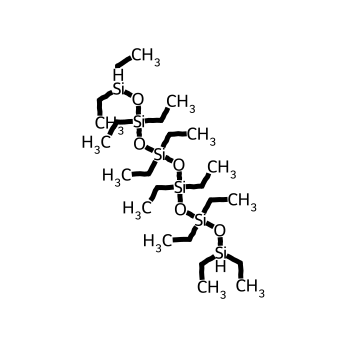 CC[SiH](CC)O[Si](CC)(CC)O[Si](CC)(CC)O[Si](CC)(CC)O[Si](CC)(CC)O[SiH](CC)CC